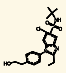 CCc1nc2cc(S(=O)(=O)NC(C)(C)C)c(Cl)cc2n1-c1ccc(CCO)cc1